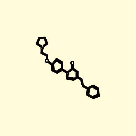 O=c1cc(CCc2ccccc2)ccn1-c1ccc(OCCN2CCCC2)cc1